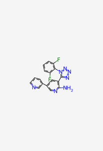 Nc1ncc(-c2cccnc2)cc1-c1nnnn1-c1c(F)cccc1F